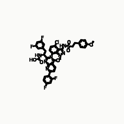 COc1ccc(CCS(=O)(=O)Nc2nn(C)c3c(-n4c(C(Cc5cc(F)cc(F)c5)NC(=O)O)nc5nc(-c6ccc(F)cc6F)ccc5c4=O)ccc(Cl)c23)cc1